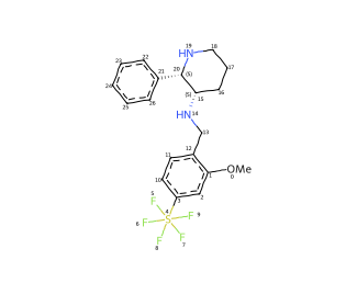 COc1cc(S(F)(F)(F)(F)F)ccc1CN[C@H]1CCCN[C@H]1c1ccccc1